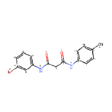 N#Cc1ccc(NC(=O)CC(=O)Nc2cccc(Br)c2)cc1